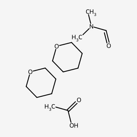 C1CCOCC1.C1CCOCC1.CC(=O)O.CN(C)C=O